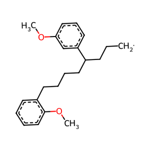 [CH2]CCC(CCCCc1ccccc1OC)c1cccc(OC)c1